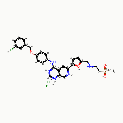 CS(=O)(=O)CCNCc1ccc(-c2cc3c(Nc4ccc(OCc5cccc(F)c5)cc4)ncnc3cn2)o1.Cl.Cl